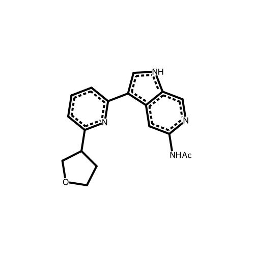 CC(=O)Nc1cc2c(-c3cccc(C4CCOC4)n3)c[nH]c2cn1